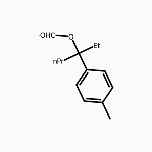 CCCC(CC)(O[C]=O)c1ccc(C)cc1